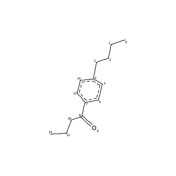 CCCCc1ccc(C(=O)CCC)cc1